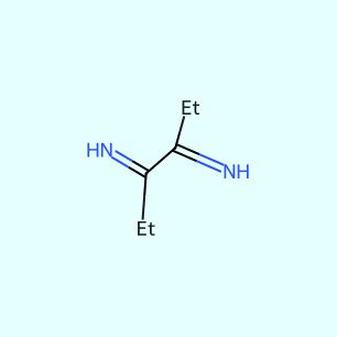 CCC(=N)C(=N)CC